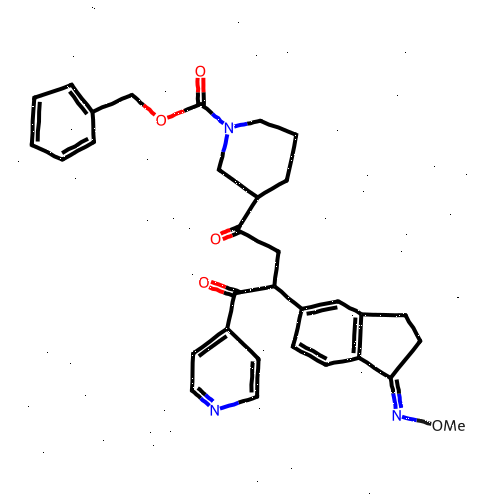 CON=C1CCc2cc(C(CC(=O)C3CCCN(C(=O)OCc4ccccc4)C3)C(=O)c3ccncc3)ccc21